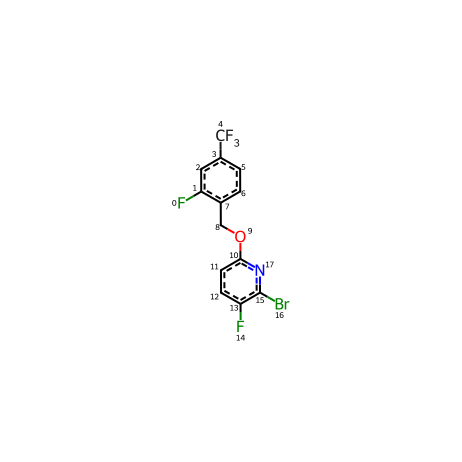 Fc1cc(C(F)(F)F)ccc1COc1ccc(F)c(Br)n1